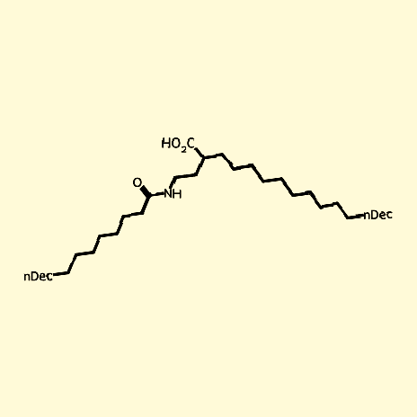 CCCCCCCCCCCCCCCCCCCCC(CCNC(=O)CCCCCCCCCCCCCCCCC)C(=O)O